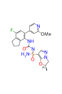 COc1cc(-c2cc(F)c3c(c2NC(=O)N=S(N)(=O)c2cnn4c2O[C@H](C)C4)CCC3)ccn1